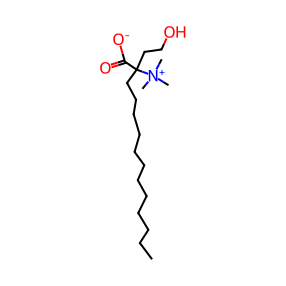 CCCCCCCCCCCCC(CCO)(C(=O)[O-])[N+](C)(C)C